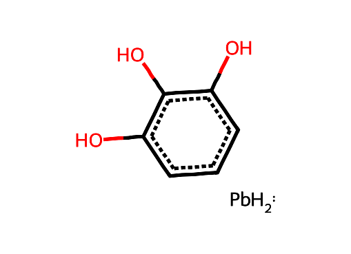 Oc1cccc(O)c1O.[PbH2]